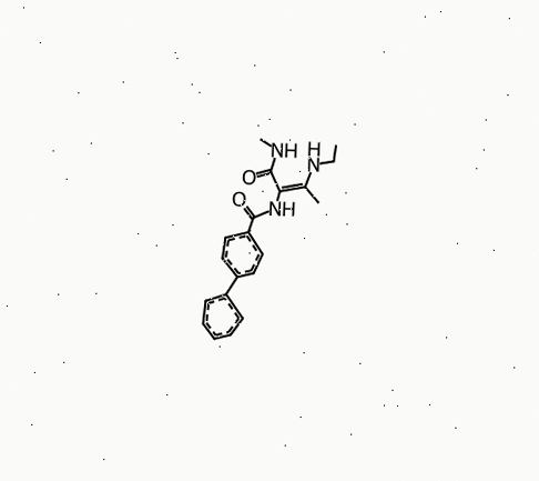 CCN/C(C)=C(/NC(=O)c1ccc(-c2ccccc2)cc1)C(=O)NC